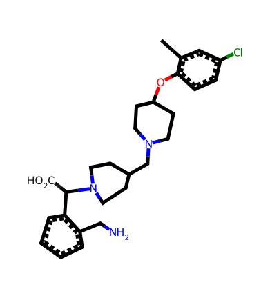 Cc1cc(Cl)ccc1OC1CCN(CC2CCN(C(C(=O)O)c3ccccc3CN)CC2)CC1